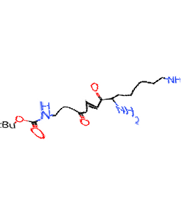 CC(C)(C)OC(=O)NCCC(=O)C=CC(=O)C(N)CCCCCN